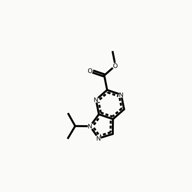 COC(=O)c1ncc2cnn(C(C)C)c2n1